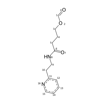 O=COCCCC(=O)NCCc1ccccn1